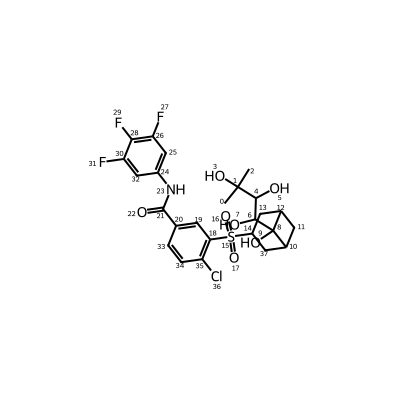 CC(C)(O)C(O)C(O)C1(O)C2CC1CC(S(=O)(=O)c1cc(C(=O)Nc3cc(F)c(F)c(F)c3)ccc1Cl)C2